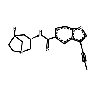 CC#Cc1coc2ccc(C(=O)N[C@@H]3C[C@H]4CCN(C4)C3)cc12